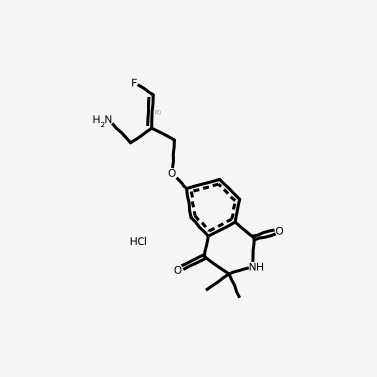 CC1(C)NC(=O)c2ccc(OC/C(=C/F)CN)cc2C1=O.Cl